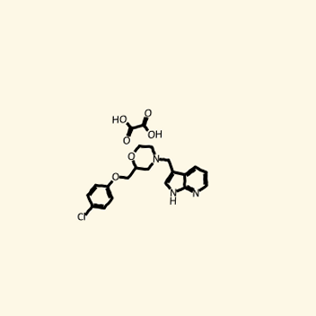 Clc1ccc(OCC2CN(Cc3c[nH]c4ncccc34)CCO2)cc1.O=C(O)C(=O)O